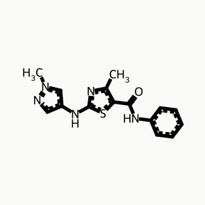 Cc1nc(Nc2cnn(C)c2)sc1C(=O)Nc1ccccc1